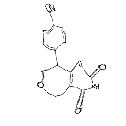 N#Cc1ccc(C2COCc3c2oc(=O)[nH]c3=O)cc1